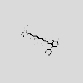 CC(/C=C/C1=C(C2CCNCC2)CCCC1(C)C)=C\C=C\C(C)=C\c1nnc[nH]1